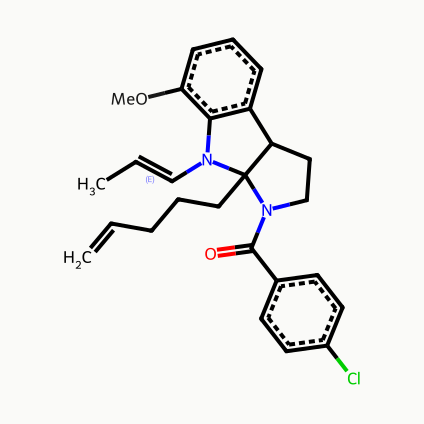 C=CCCCC12C(CCN1C(=O)c1ccc(Cl)cc1)c1cccc(OC)c1N2/C=C/C